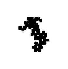 Cc1cnc(N[C@]23CC4(O)C[C@@](C)(C[C@@](C)(C4)C2)C3)nc1-c1cnc2ccc(-c3ccccc3)cn12